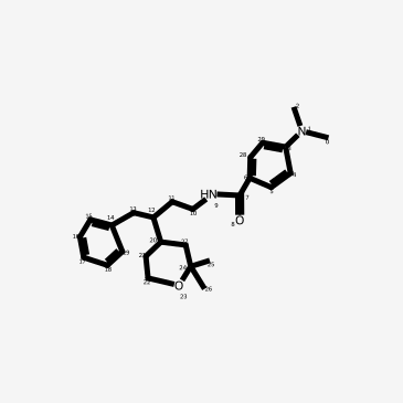 CN(C)c1ccc(C(=O)NCCC(Cc2ccccc2)C2CCOC(C)(C)C2)cc1